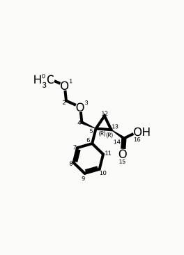 COCOC[C@@]1(C2C=CC=CC2)C[C@H]1C(=O)O